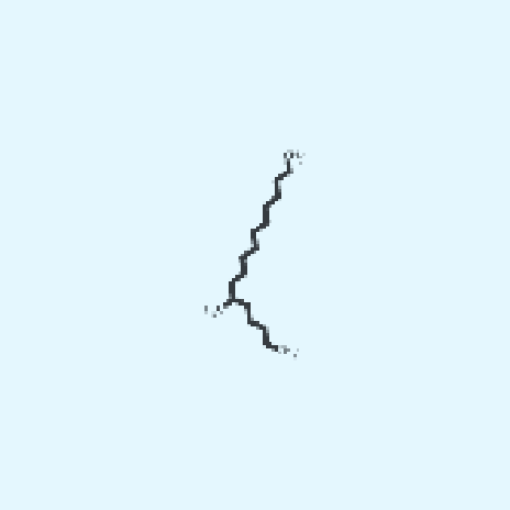 [CH2]CCCCCCCCCCC(C)CCCC[CH2]